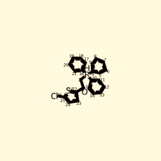 O=C(C[PH](c1ccccc1)(c1ccccc1)c1ccccc1)c1ccc(Cl)s1